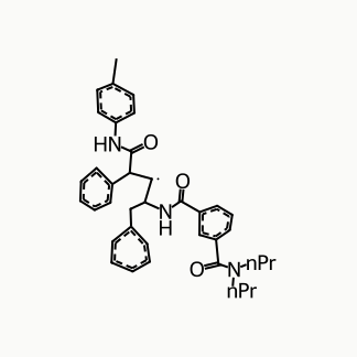 CCCN(CCC)C(=O)c1cccc(C(=O)NC([CH]C(C(=O)Nc2ccc(C)cc2)c2ccccc2)Cc2ccccc2)c1